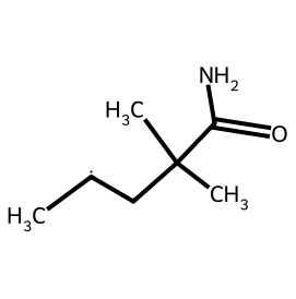 C[CH]CC(C)(C)C(N)=O